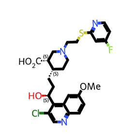 COc1ccc2ncc(Cl)c([C@@H](O)CC[C@H]3CCN(CCSc4cc(F)ccn4)C[C@H]3C(=O)O)c2c1